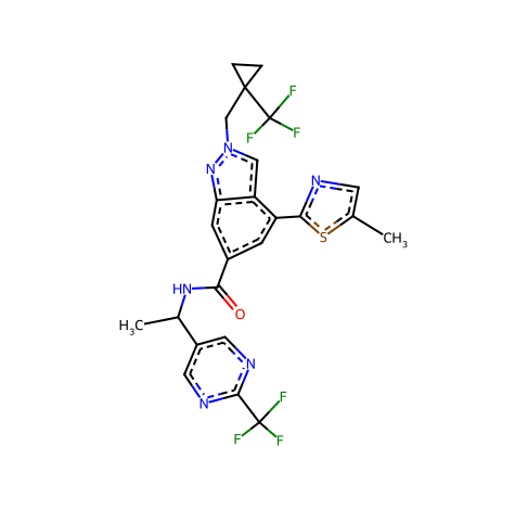 Cc1cnc(-c2cc(C(=O)NC(C)c3cnc(C(F)(F)F)nc3)cc3nn(CC4(C(F)(F)F)CC4)cc23)s1